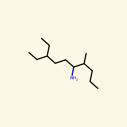 CCCC(C)C(N)CCC(CC)CC